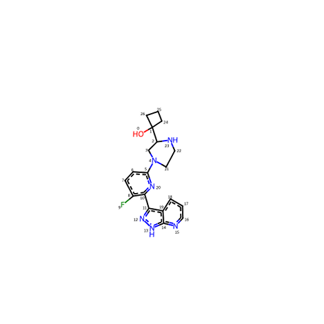 OC1(C2CN(c3ccc(F)c(-c4n[nH]c5ncccc45)n3)CCN2)CCC1